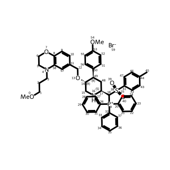 COCCCN1CCOc2ccc(CO[C@H]3CN[C@H](C([P+](c4ccccc4)(c4ccccc4)c4ccccc4)S(=O)(=O)c4ccc(C)cc4)C[C@@H]3c3ccc(OC)cc3)cc21.[Br-]